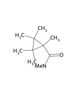 CNC(=O)C1(C)C(C)(C)C1(C)C